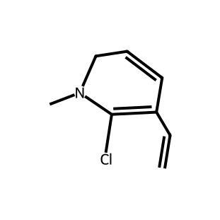 C=CC1=C(Cl)N(C)CC=C1